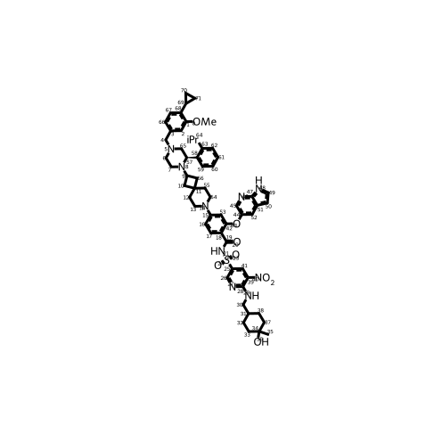 COc1cc(CN2CCN(C3CC4(CCN(c5ccc(C(=O)NS(=O)(=O)c6cnc(NCC7CCC(C)(O)CC7)c([N+](=O)[O-])c6)c(Oc6cnc7[nH]ccc7c6)c5)CC4)C3)[C@H](c3ccccc3C(C)C)C2)ccc1C1CC1